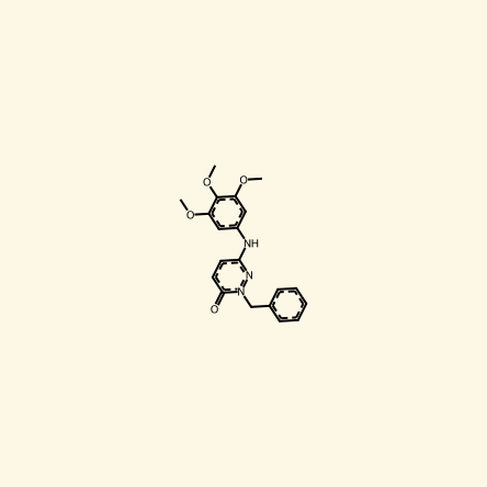 COc1cc(Nc2ccc(=O)n(Cc3ccccc3)n2)cc(OC)c1OC